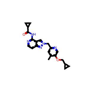 Cc1cc(Cn2cc3c(NC(=O)C4CC4)nccc3n2)ncc1OCC1CC1